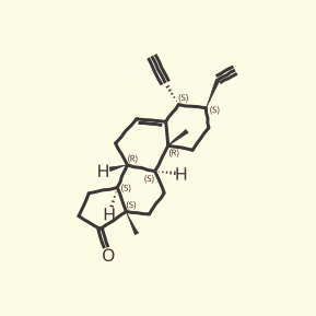 C#C[C@H]1CC[C@@]2(C)C(=CC[C@@H]3[C@@H]2CC[C@]2(C)C(=O)CC[C@@H]32)[C@@H]1C#C